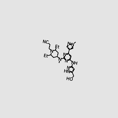 CCC1CC(N(C)c2nc(Nc3cc(CO)[nH]n3)cc(-c3cnn(C)c3)n2)CC(CC)N1CCC#N